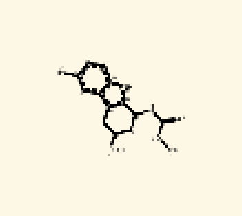 CC(C)(C)OC(=O)NC1CC(C(=O)O)Cc2c1[nH]c1ccc(Br)cc21